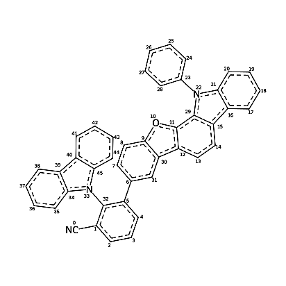 N#Cc1cccc(-c2ccc3oc4c(ccc5c6ccccc6n(-c6ccccc6)c54)c3c2)c1-n1c2ccccc2c2ccccc21